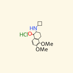 COc1ccc2c(c1OC)CCC(NC1CCC1)C2=O.Cl